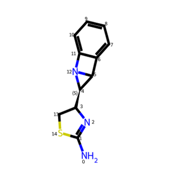 NC1=NC([C@@H]2C3c4ccccc4N32)CS1